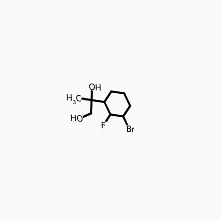 CC(O)(CO)C1CCCC(Br)C1F